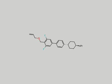 C=CCOCc1c(F)cc(-c2ccc([C@H]3CC[C@H](CCC)CC3)cc2)cc1F